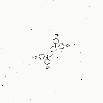 Oc1ccc(C2(c3ccc(O)cc3)CCC3(CC2)CCC(c2ccc(O)cc2)(c2ccc(O)cc2)CC3)cc1